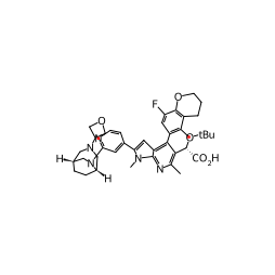 Cc1nc2c(cc(-c3ccnc(N4C[C@@H]5CC[C@H]4CN(C4COC4)C5)c3)n2C)c(-c2cc(F)c3c(c2C)CCCO3)c1[C@H](OC(C)(C)C)C(=O)O